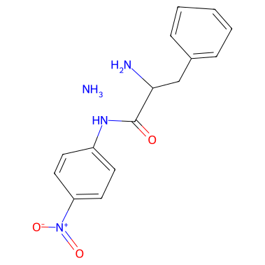 N.NC(Cc1ccccc1)C(=O)Nc1ccc([N+](=O)[O-])cc1